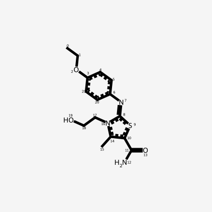 CCOc1ccc(/N=c2/sc(C(N)=O)c(C)n2CCO)cc1